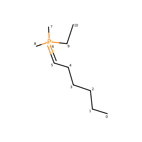 CCCCCC=P(C)(C)CC